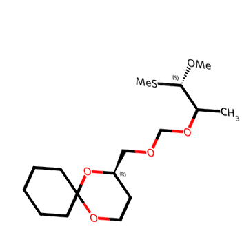 CO[C@@H](SC)C(C)OCOC[C@H]1CCOC2(CCCCC2)O1